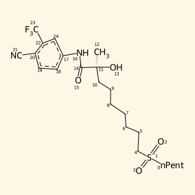 CCCCCS(=O)(=O)CCCCCCC[C@](C)(O)C(=O)Nc1ccc(C#N)c(C(F)(F)F)c1